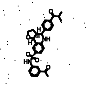 CC(=O)c1cccc(NS(=O)(=O)c2ccc3c(c2)[C@H]2OCC[C@H]2C(c2ccc(C(=O)C(C)C)cc2)N3)c1